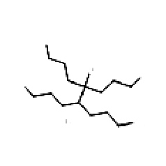 Br.CCCCC(CCCC)C(N)(CCCC)CCCC